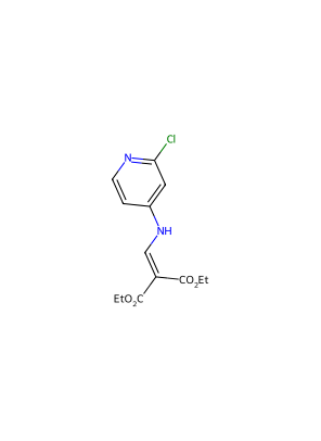 CCOC(=O)C(=CNc1ccnc(Cl)c1)C(=O)OCC